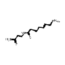 CCCCCCCCCCCCCCCC(=O)NCCC(N)=O